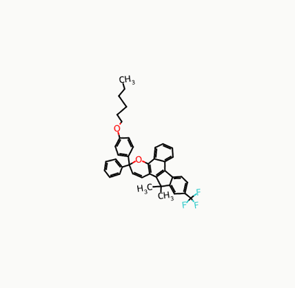 CCCCCCOc1ccc(C2(c3ccccc3)C=Cc3c4c(c5ccccc5c3O2)-c2ccc(C(F)(F)F)cc2C4(C)C)cc1